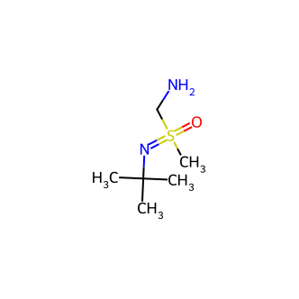 CC(C)(C)N=S(C)(=O)CN